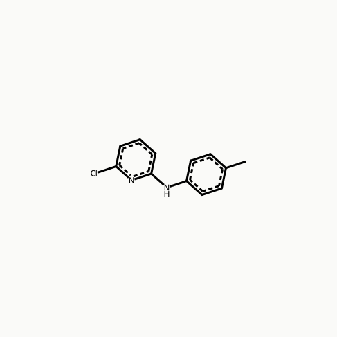 Cc1ccc(Nc2cccc(Cl)n2)cc1